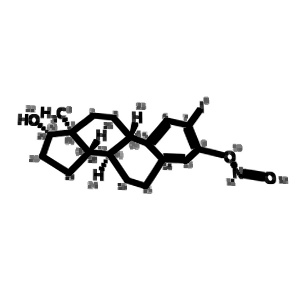 C[C@]12CC[C@@H]3c4cc(I)c(ON=O)cc4CC[C@H]3[C@@H]1CC[C@@H]2O